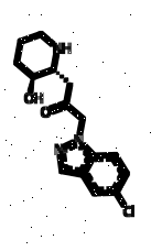 O=C(C[C@H]1NCCC[C@@H]1O)Cn1ncc2cc(Cl)ccc21